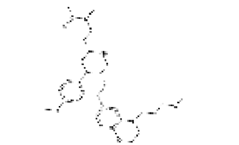 COCCCN1CCOc2ccc(CO[C@H]3CN[C@@H](CCN(C)C(C)=O)CC3c3ccc(OC)cc3)cc21